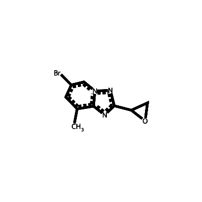 Cc1cc(Br)cn2nc(C3CO3)nc12